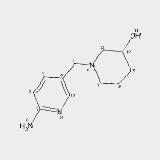 Nc1ccc(CN2CCCC(O)C2)cn1